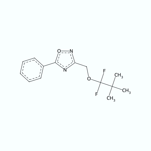 CC(C)(C)C(F)(F)OCc1noc(-c2ccccc2)n1